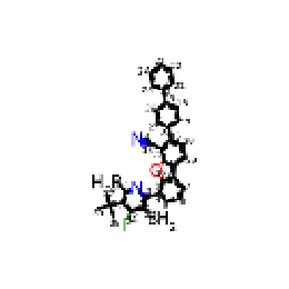 Bc1nc(-c2cccc3c2oc2c(C#N)c(-c4ccc(-c5ccccc5)cc4)ccc23)c(B)c(F)c1C(C)(C)C